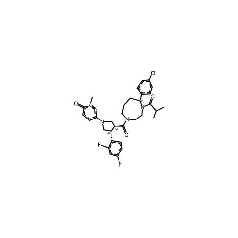 CC(C)C(=O)N1CCN(C(=O)[C@@H]2CN(c3ccc(=O)n(C)n3)C[C@H]2c2ccc(F)cc2F)CCC[C@H]1c1ccc(Cl)cc1